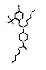 CCCCOC(=O)N1CCC(N(CCCOC)Cc2ccc(F)cc2C(F)(F)F)CC1